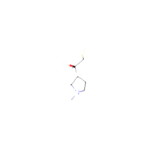 CN1CC[C@H](C(=O)CS)C1